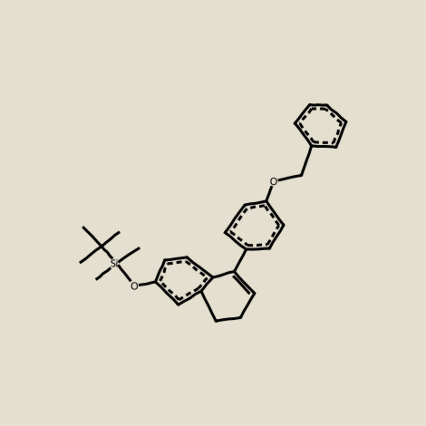 CC(C)(C)[Si](C)(C)Oc1ccc2c(c1)CCC=C2c1ccc(OCc2ccccc2)cc1